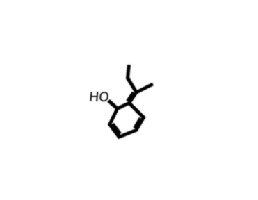 CCC(C)=C1C=CC=CC1O